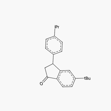 CC(C)c1ccc(C2CC(=O)c3ccc(C(C)(C)C)cc32)cc1